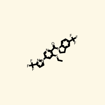 CCSc1cc(-n2ccc(C(F)(F)F)n2)cnc1C(=O)N1CCc2cc(C(F)(F)F)ccc21